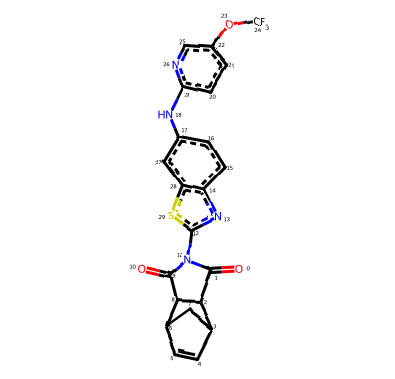 O=C1C2C3C=CC(C3)C2C(=O)N1c1nc2ccc(Nc3ccc(OC(F)(F)F)cn3)cc2s1